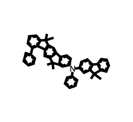 CC1(C)c2ccccc2-c2ccc(N(c3ccccc3)c3ccc4c(c3)C(C)(C)c3cc5c(cc3-4)C(C)(C)c3cccc(-c4ccccc4)c3-5)cc21